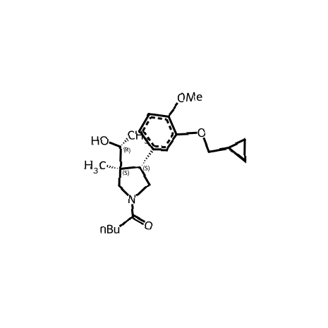 CCCCC(=O)N1C[C@@H](c2ccc(OC)c(OCC3CC3)c2)[C@](C)([C@@H](C)O)C1